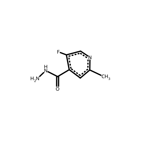 Cc1cc(C(=O)NN)c(F)cn1